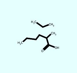 CCC.CCCCC(C)C(=O)O